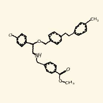 COC(=O)c1ccc(CNCC(OCc2ccc(CCc3ccc(C)cc3)cc2)c2ccc(Cl)cc2)cc1